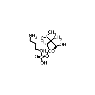 CCC(C)(C(=O)O)N(C)C.NCCCOS(=O)(=O)O